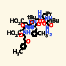 CCCCC(NC(=O)[C@H](CC(C)C)NC(=O)[C@@H](NC(=O)[C@H](Cc1ccccc1C)NC(=O)[C@H](CCC(=O)O)NC(=O)[C@H](CC(=O)O)NC(=O)CCC(=O)c1ccc(C)cc1)C(C)(C)C)C(=O)C(N)=O